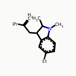 C=C(CC1c2cc(CC)ccc2N(C)C1C)C(C)C